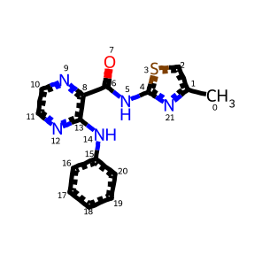 Cc1csc(NC(=O)c2nccnc2Nc2ccccc2)n1